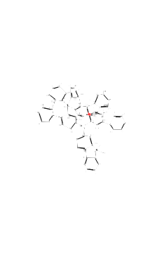 CC1(C)c2ccccc2-c2ccc(N(c3ccc4c(c3)C3(c5ccccc5-c5ccccc5-4)c4ccccc4-c4c3ccc3sc5ccccc5c43)c3ccc4oc5ccccc5c4c3)cc21